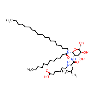 CCCCCCCCCCCCCCCCCCN(C(=O)CCCCCCCCCCC)[C@@H]1O[C@H](CO)[C@@H](O)[C@H](O)[C@@H]1NC(=O)[C@H](CC(C)C)NCCCCCC(=O)O